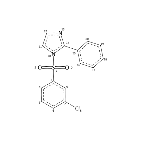 O=S(=O)(c1cccc(Cl)c1)n1ccnc1-c1ccccc1